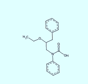 CCOC(Cc1ccccc1)CN(C(=O)O)c1ccccc1